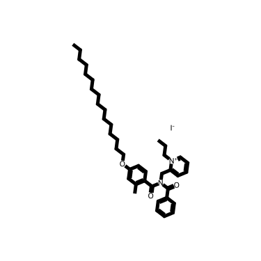 CCCCCCCCCCCCCCCCOc1ccc(C(=O)N(Cc2cccc[n+]2CCC)C(=O)c2ccccc2)c(C)c1.[I-]